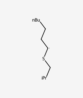 CCCCCC[CH]SCC(C)C